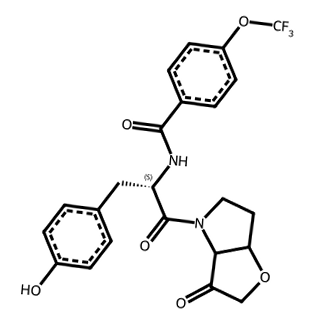 O=C(N[C@@H](Cc1ccc(O)cc1)C(=O)N1CCC2OCC(=O)C21)c1ccc(OC(F)(F)F)cc1